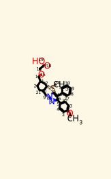 COc1ccc(-c2nn(CC3CCC(COCC(=O)O)CC3)c(SC)c2-c2ccccc2)cc1